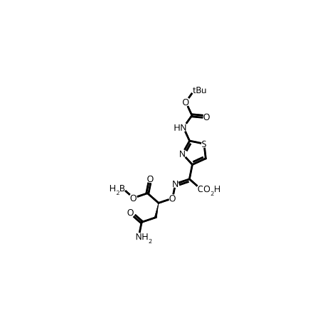 BOC(=O)[C@H](CC(N)=O)O/N=C(\C(=O)O)c1csc(NC(=O)OC(C)(C)C)n1